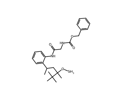 CC(CC(C)(O[SiH3])C(C)(C)C)c1ccccc1NC(=O)CNC(=O)OCc1ccccc1